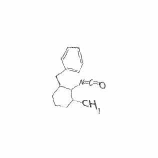 CC1CCCC(Cc2ccccc2)C1N=C=O